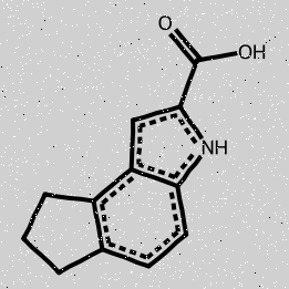 O=C(O)c1cc2c3c(ccc2[nH]1)CCC3